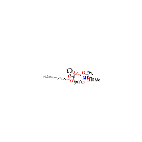 CCCCCCCCCCCCCCCCCC(=O)O[C@H]1[C@H](C)OC(=O)[C@@H](NC(=O)c2nccc(OC)c2O)COC(=O)[C@@H]1Cc1ccccc1